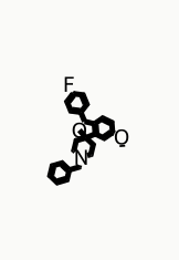 COc1ccc2c(c1)C1(CCN(Cc3ccccc3)CC1)OC2c1ccc(F)cc1